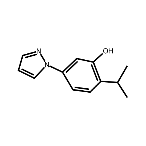 CC(C)c1ccc(-n2cccn2)cc1O